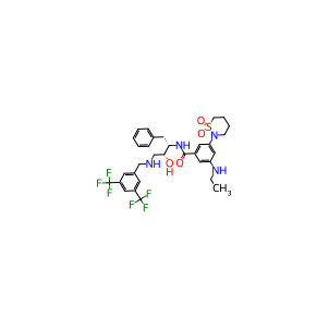 CCNc1cc(C(=O)N[C@@H](Cc2ccccc2)[C@H](O)CNCc2cc(C(F)(F)F)cc(C(F)(F)F)c2)cc(N2CCCCS2(=O)=O)c1